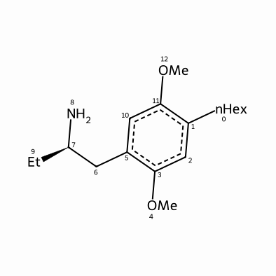 CCCCCCc1cc(OC)c(C[C@H](N)CC)cc1OC